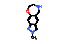 Cn1cc2cc3c(cc2n1)OCCNC3